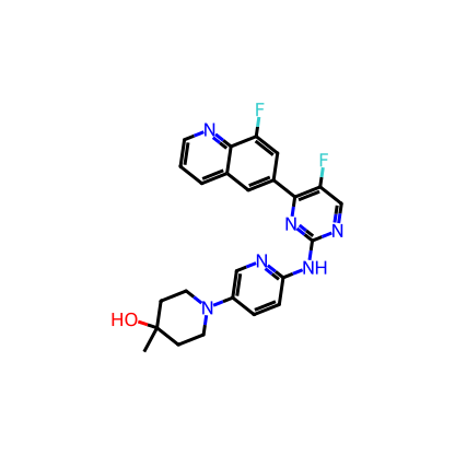 CC1(O)CCN(c2ccc(Nc3ncc(F)c(-c4cc(F)c5ncccc5c4)n3)nc2)CC1